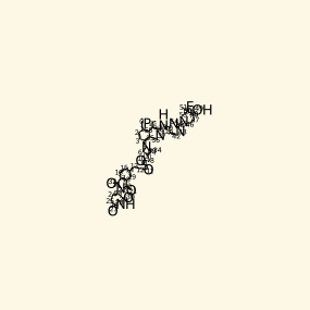 CC(C)c1ccc(N2C[C@H](CS(=O)(=O)CCc3ccc4c(c3)C(=O)N(C3CCC(=O)NC3=O)C4=O)[C@H]2C)c2cnc(Nc3ccnc(N4CC[C@@H](O)[C@@](C)(F)C4)n3)cc12